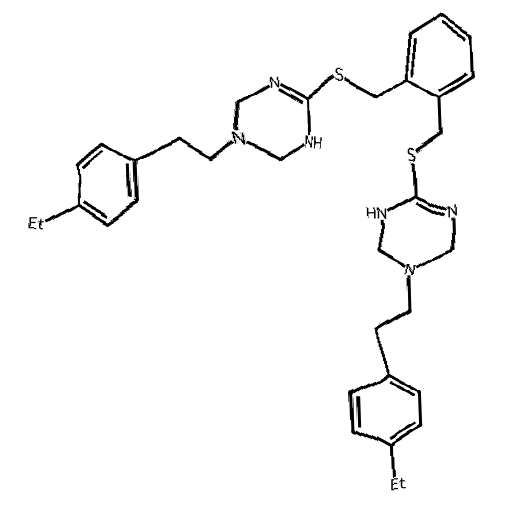 CCc1ccc(CCN2CN=C(SCc3ccccc3CSC3=NCN(CCc4ccc(CC)cc4)CN3)NC2)cc1